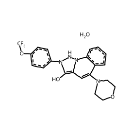 O.OC1=C2C=C(N3CCOCC3)c3ccccc3N2NN1c1ccc(OC(F)(F)F)cc1